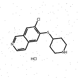 Cl.Clc1cc2cnccc2cc1SC1CCNCC1